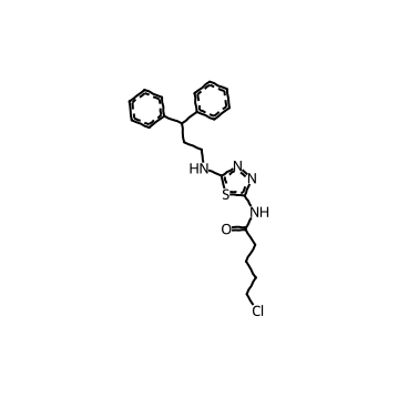 O=C(CCCCCl)Nc1nnc(NCCC(c2ccccc2)c2ccccc2)s1